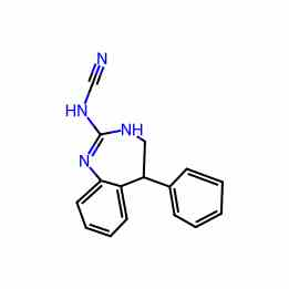 N#CNC1=Nc2ccccc2C(c2ccccc2)CN1